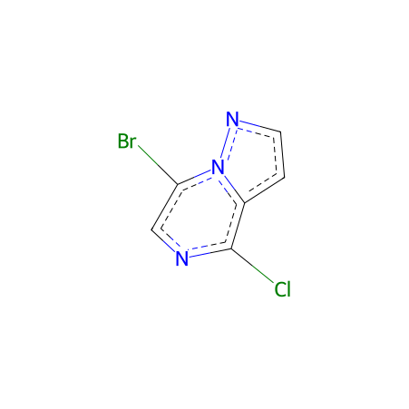 Clc1ncc(Br)n2nccc12